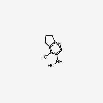 ONc1cnc2c(c1O)CCC2